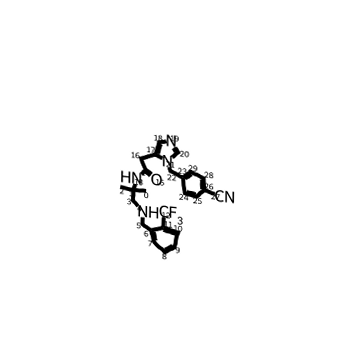 CC(C)(CNCc1ccccc1C(F)(F)F)NC(=O)Cc1cncn1Cc1ccc(C#N)cc1